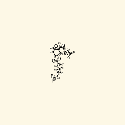 COC1C(OC(=O)N2CCC3(CN(CC(F)F)C3)C2)CCC2(CO2)C1[C@@]1(C)O[C@@H]1CC=C(C)C